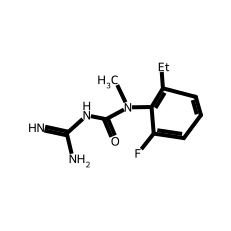 CCc1cccc(F)c1N(C)C(=O)NC(=N)N